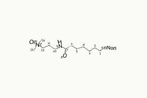 CCCCCCCCCCCCCCCC(=O)NCCC[N+](C)(C)[O-]